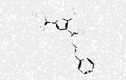 CSc1sc(C(=N)N)cc1C(=N)NCCc1ccccc1